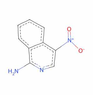 Nc1ncc([N+](=O)[O-])c2ccccc12